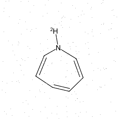 [2H]N1C=CC=CC=C1